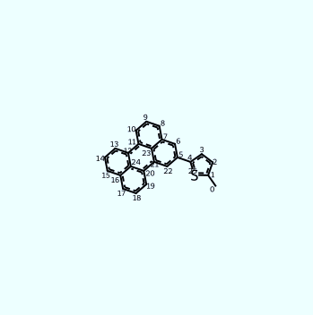 Cc1ccc(-c2cc3cccc4c5cccc6cccc(c(c2)c34)c65)s1